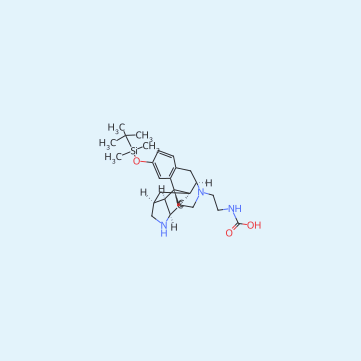 CC(C)(C)[Si](C)(C)Oc1ccc2c(c1)[C@]13CCN(CCNC(=O)O)[C@H](C2)[C@]12CC[C@H]1NC[C@@H](C2)[C@H]13